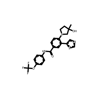 CC1(O)CCN(c2ccc(C(=O)Nc3ccc(OC(F)(F)F)cc3)cc2-c2cncs2)C1